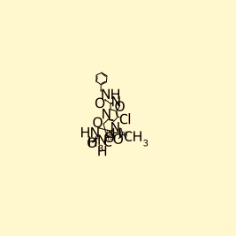 C[C@@H]1CN2c3c(nc4c(C(=O)NCc5ccccc5)noc4c3Cl)CC3(C(=O)NC(=O)NC3=O)[C@H]2[C@H](C)O1